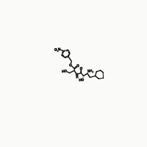 N[C@H](CC1CCCCC1)[C@H](O)C(=O)NC(CO)C(=O)OCc1ccc([N+](=O)[O-])cc1